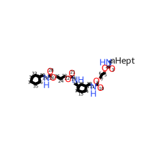 CCCCCCCNC(=O)OCCCOC(=O)NCC1CCCC(CNC(=O)OCCCOC(=O)NCC2CCCCC2)C1